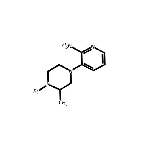 CCN1CCN(c2cccnc2N)CC1C